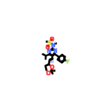 CC(C)c1nc(N(C)S(C)(=O)=O)nc(-c2ccc(F)cc2)c1/C=C/C1CCOC(C)(C)O1